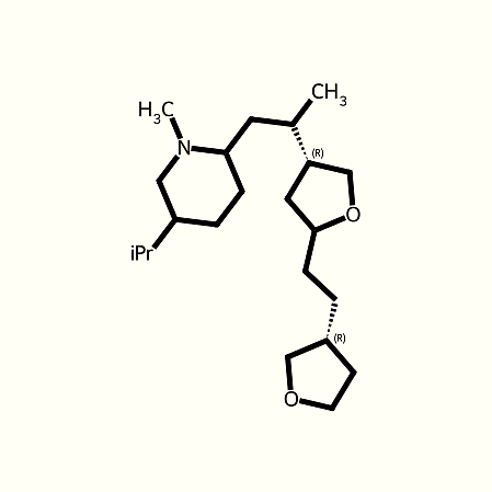 CC(C)C1CCC(CC(C)[C@@H]2COC(CC[C@@H]3CCOC3)C2)N(C)C1